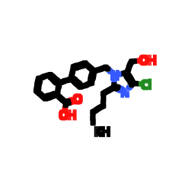 CCCCc1nc(Cl)c(CO)n1Cc1ccc(-c2ccccc2C(=O)O)cc1.[KH]